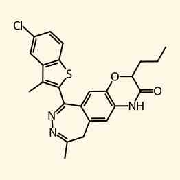 CCCC1Oc2cc3c(cc2NC1=O)CC(C)=NN=C3c1sc2ccc(Cl)cc2c1C